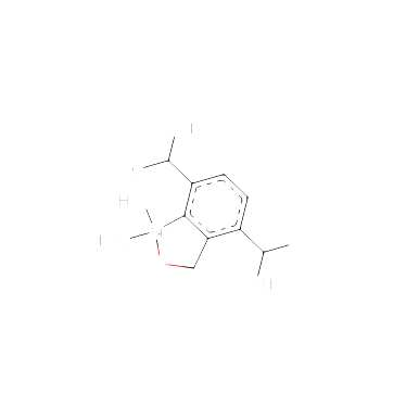 CC(C)c1ccc(C(C)C)c2c1CO[Si]2(C)C